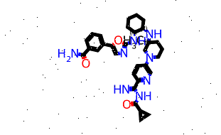 C[C@]1(N[C@@H]2CCCC[C@H]2Nc2ncc(-c3cccc(C(N)=O)c3)o2)CCCN(c2ccc(C(=N)NC(=O)C3CC3)nc2)C1